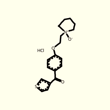 Cl.O=C(c1ccc(OCC[N+]2([O-])CCCCC2)cc1)c1ccsc1